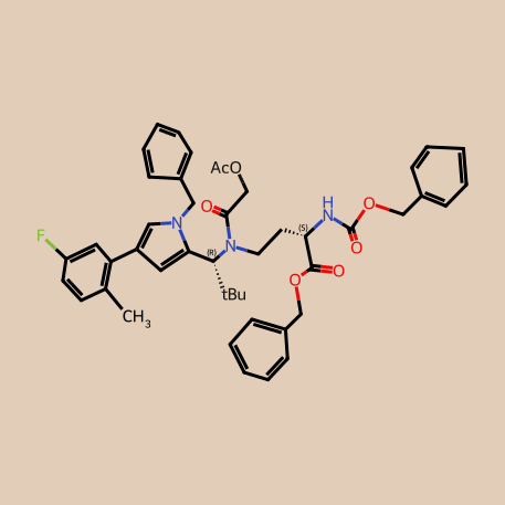 CC(=O)OCC(=O)N(CC[C@H](NC(=O)OCc1ccccc1)C(=O)OCc1ccccc1)[C@@H](c1cc(-c2cc(F)ccc2C)cn1Cc1ccccc1)C(C)(C)C